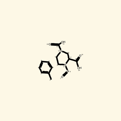 Cc1ccccc1.O=NN1CCN(C(=O)O)CC1C(=O)O